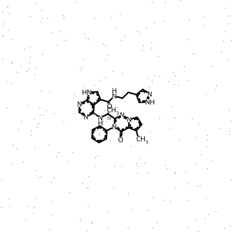 Cc1ccn2nc([C@H](C)Nc3ncnc4[nH]cc(C(=O)NCCc5cn[nH]c5)c34)n(-c3ccccc3)c(=O)c12